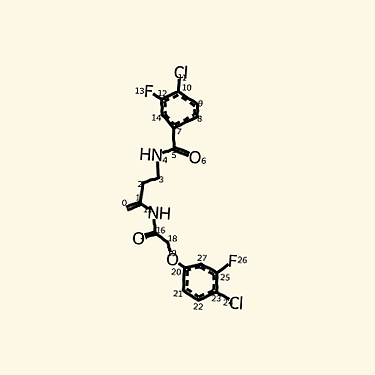 C=C(CCNC(=O)c1ccc(Cl)c(F)c1)NC(=O)COc1ccc(Cl)c(F)c1